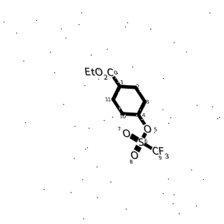 CCOC(=O)C1CCC(OS(=O)(=O)C(F)(F)F)CC1